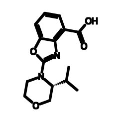 CC(C)[C@@H]1COCCN1c1nc2c(C(=O)O)cccc2o1